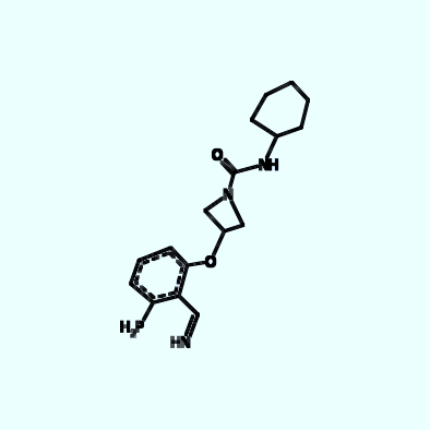 N=Cc1c(P)cccc1OC1CN(C(=O)NC2CCCCC2)C1